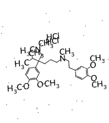 COc1ccc(CCN(C)CCCC(CN(C)C)(c2ccc(OC)c(OC)c2)C(C)C)cc1OC.Cl.Cl